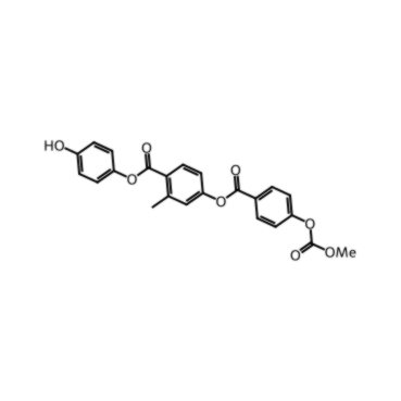 COC(=O)Oc1ccc(C(=O)Oc2ccc(C(=O)Oc3ccc(O)cc3)c(C)c2)cc1